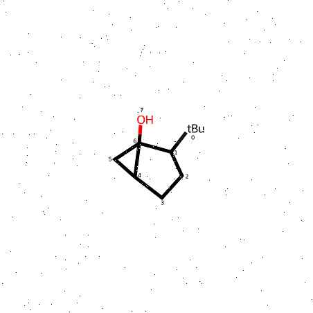 CC(C)(C)C1CCC2CC21O